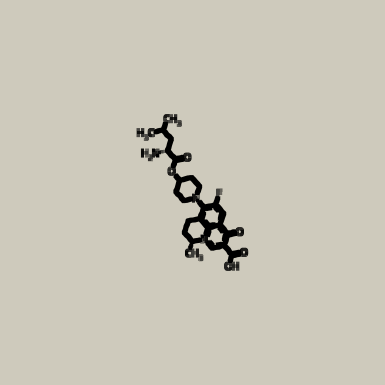 CC(C)C[C@@H](N)C(=O)OC1CCN(c2c(F)cc3c(=O)c(C(=O)O)cn4c3c2CC[C@@H]4C)CC1